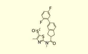 Cc1nc(N(C)C(=O)C2Cc3ccc(-c4cc(F)ccc4F)cc3C2)sc1[S+](C)[O-]